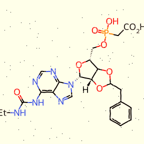 CCNC(=O)Nc1ncnc2c1ncn2[C@@H]1O[C@H](COP(=O)(O)CC(=O)O)C2OC(Cc3ccccc3)O[C@@H]21